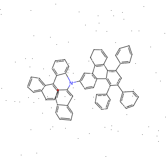 C1=Cc2c(c3cc(N(c4ccc5ccccc5c4)c4ccccc4-c4cccc5ccccc45)ccc3c3c(-c4ccccc4)c(-c4ccccc4)cc(-c4ccccc4)c23)CC1